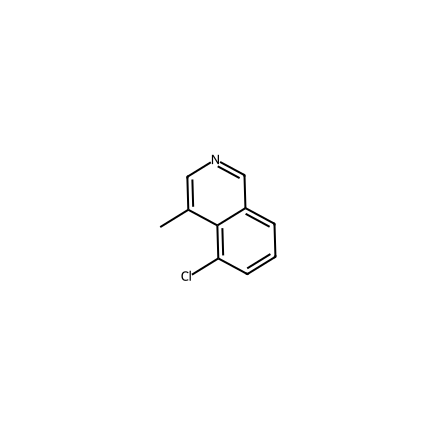 Cc1cncc2cccc(Cl)c12